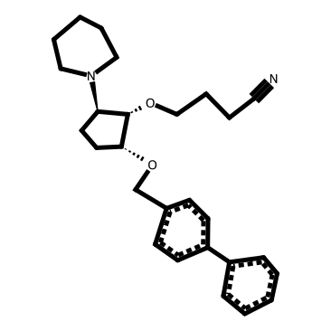 N#CCCCO[C@H]1[C@H](N2CCCCC2)CC[C@H]1OCc1ccc(-c2ccccc2)cc1